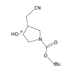 CC(C)(C)OC(=O)N1CC(CC#N)[C@@H](O)C1